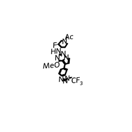 COc1nc(N[C@H]2CCN(C(C)=O)C[C@H]2F)nn2ccc(-c3ccc4nnn(CC(F)(F)F)c4c3)c12